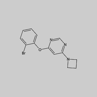 Brc1ccccc1Oc1cc(N2CCC2)ncn1